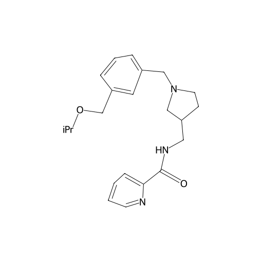 CC(C)OCc1cccc(CN2CCC(CNC(=O)c3ccccn3)C2)c1